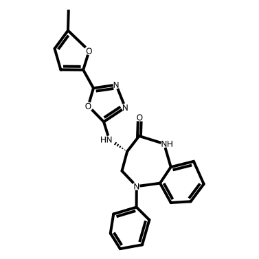 Cc1ccc(-c2nnc(N[C@H]3CN(c4ccccc4)c4ccccc4NC3=O)o2)o1